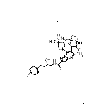 Cc1nc2cc(C(=O)NCC(O)CCc3ccc(F)cc3)nn2c(N2CCC(C)(C)CC2)c1C(OC(C)(C)C)C(=O)O